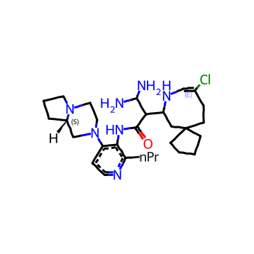 CCCc1nccc(N2CCN3CCC[C@H]3C2)c1NC(=O)C(C(N)N)C1CC2(CCCC2)CC/C(Cl)=C\N1